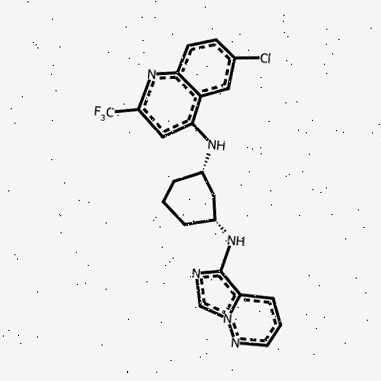 FC(F)(F)c1cc(N[C@H]2CCC[C@@H](Nc3ncn4ncccc34)C2)c2cc(Cl)ccc2n1